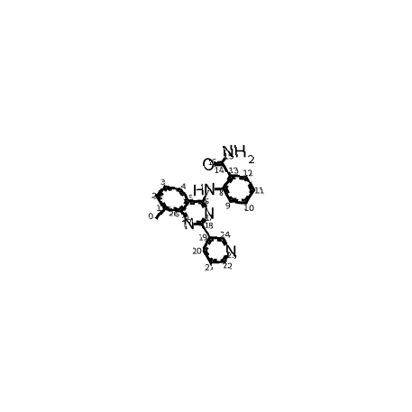 Cc1cccc2c(Nc3ccccc3C(N)=O)nc(-c3cccnc3)nc12